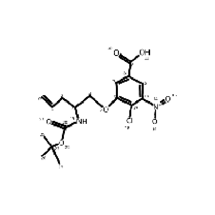 C=CCC(COc1cc(C(=O)O)cc([N+](=O)[O-])c1Cl)NC(=O)OC(C)(C)C